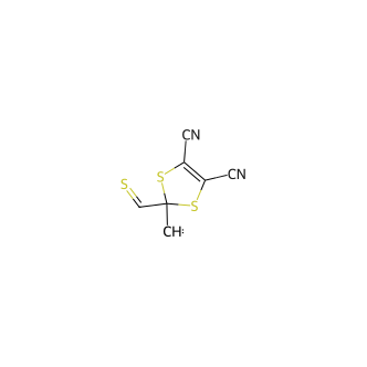 [CH]C1(C=S)SC(C#N)=C(C#N)S1